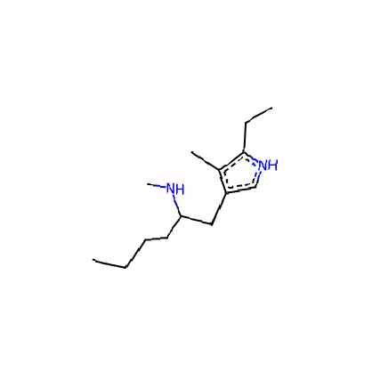 CCCCC(Cc1c[nH]c(CC)c1C)NC